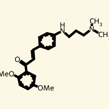 COc1ccc(OC)c(C(=O)C=Cc2ccc(NCCCN(C)C)cc2)c1